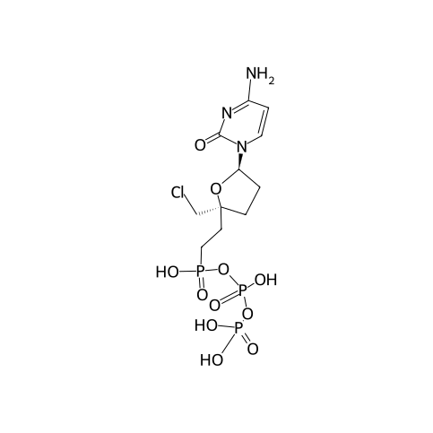 Nc1ccn([C@H]2CC[C@@](CCl)(CCP(=O)(O)OP(=O)(O)OP(=O)(O)O)O2)c(=O)n1